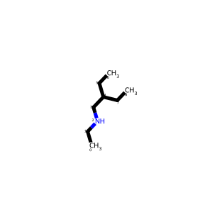 C[CH]NCC(CC)CC